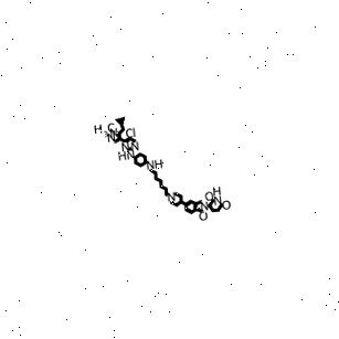 Cn1ncc(-c2nc(N[C@H]3CC[C@H](NCCCCCCCN4CCC(c5ccc6c(c5)CN(C5CCC(=O)NC5=O)C6=O)CC4)CC3)ncc2Cl)c1CC1CC1